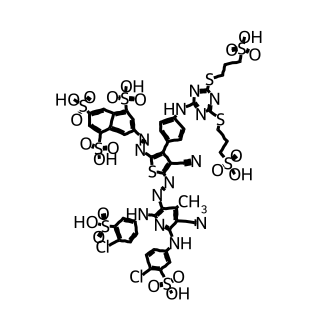 Cc1c(C#N)c(Nc2ccc(Cl)c(S(=O)(=O)O)c2)nc(Nc2ccc(Cl)c(S(=O)(=O)O)c2)c1N=Nc1sc(N=Nc2cc(S(=O)(=O)O)c3cc(S(=O)(=O)O)cc(S(=O)(=O)O)c3c2)c(-c2ccc(Nc3nc(SCCCS(=O)(=O)O)nc(SCCCS(=O)(=O)O)n3)cc2)c1C#N